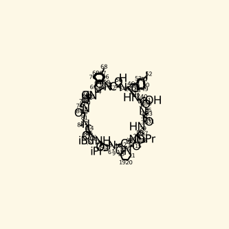 CC[C@H](C)[C@@H]1NC(=O)[C@H](CC(C)C)N(C)C(=O)C[C@@H](C(=O)N2CCCCC2)N(C)C(=O)[C@H](CC(C)C)NC(=O)C(C)(C)N(C)C(=O)[C@H](CO)NC(=O)[C@H](Cc2cccc(I)c2)NC(=O)CN(C)C(=O)[C@H](Cc2ccc(C)cc2)N(C)C(=O)[C@@H]2CCN2C(=O)CN(C)CC1=O